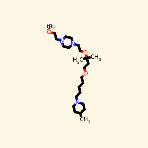 CC1CCN(CCCCCOCCC(C)(C)OCCN2CCN(CCOC(C)(C)C)CC2)CC1